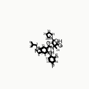 CC(C)Cn1ncc2cc(Oc3ccc(F)cc3F)c(C(=O)NC(C)(CCN3CCCC3)C(=O)O)cc21